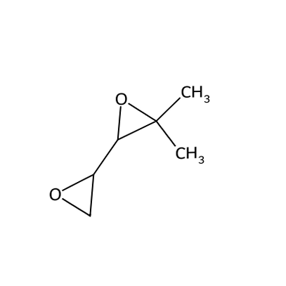 CC1(C)OC1C1CO1